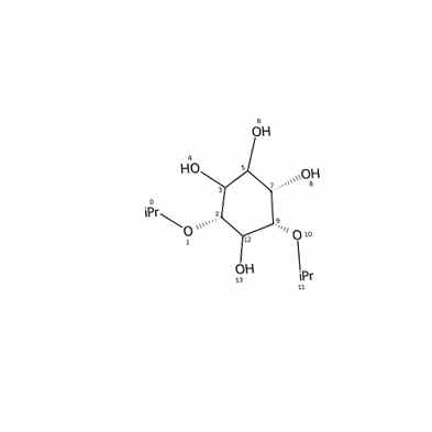 CC(C)O[C@@H]1C(O)C(O)[C@H](O)[C@H](OC(C)C)C1O